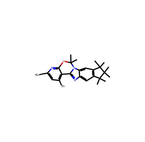 CC(C)c1cc(C(C)(C)C)nc2c1-c1nc3cc4c(cc3n1C(C)(C)O2)C(C)(C)C(C)(C)C4(C)C